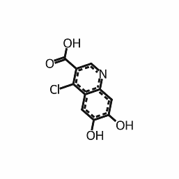 O=C(O)c1cnc2cc(O)c(O)cc2c1Cl